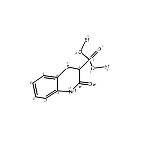 CCOP(=O)(OCC)C1Sc2ccccc2NC1=O